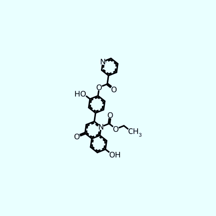 CCOC(=O)n1c(-c2ccc(OC(=O)c3cccnc3)c(O)c2)cc(=O)c2ccc(O)cc21